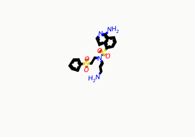 NCC=CN(CCS(=O)(=O)c1ccccc1)S(=O)(=O)c1cccc2c(N)nccc12